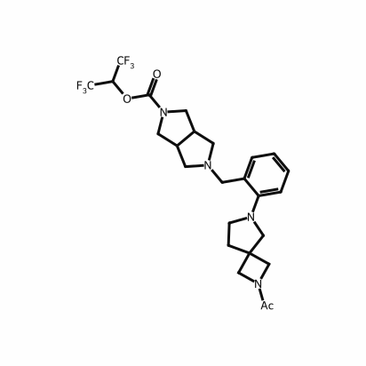 CC(=O)N1CC2(CCN(c3ccccc3CN3CC4CN(C(=O)OC(C(F)(F)F)C(F)(F)F)CC4C3)C2)C1